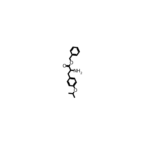 CC(C)Oc1ccc(CC(N)C(=O)OCc2ccccc2)cc1